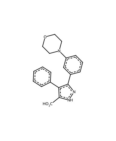 O=C(O)c1[nH]nc(-c2cccc(N3CCOCC3)c2)c1-c1ccccc1